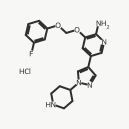 Cl.Nc1ncc(-c2cnn(C3CCNCC3)c2)cc1OCOc1cccc(F)c1